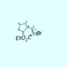 CCOC(=O)/C(Br)=C\C1CCCC1